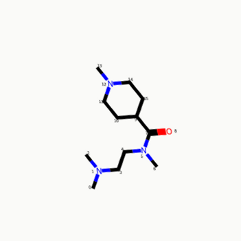 CN(C)CCN(C)C(=O)C1CCN(C)CC1